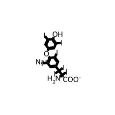 N[C@](I)(C(=O)[O-])C(I)(I)c1cc(I)c(Oc2cc(I)c(O)c(I)c2)c(I)c1.[Na+]